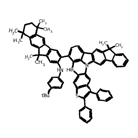 CC(C)(C)c1ccc(Nc2cc3c(cc2-c2ccc4c5cc6c(cc5n5c4c2Bc2cc4sc(-c7ccccc7)c(-c7ccccc7)c4cc2-5)-c2ccccc2C6(C)C)-c2cc4c(cc2C3(C)C)C(C)(C)CCC4(C)C)cc1